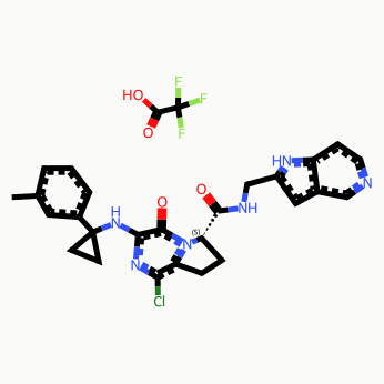 Cc1cccc(C2(Nc3nc(Cl)c4n(c3=O)[C@H](C(=O)NCc3cc5cnccc5[nH]3)CC4)CC2)c1.O=C(O)C(F)(F)F